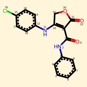 O=C(Nc1ccccc1)C1=C(Nc2ccc(Cl)cc2)COC1=O